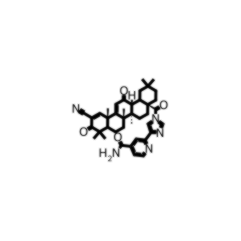 CC1(C)CC[C@]2(C(=O)n3cnc(-c4cc(C(N)=O)ccn4)c3)CC[C@]3(C)[C@H](C(=O)C=C4[C@@]5(C)C=C(C#N)C(=O)C(C)(C)C5CC[C@]43C)C2C1